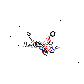 CCCN(CCC)C(Cc1ccc(OCCc2ccccc2)c(OC)c1)OC(=O)C(=O)OC(Cc1ccc(OCCc2ccccc2)c(OC)c1)N(CCC)CCC